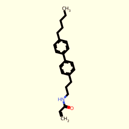 C=CC(=O)NCCCc1ccc(-c2ccc(CCCCC)cc2)cc1